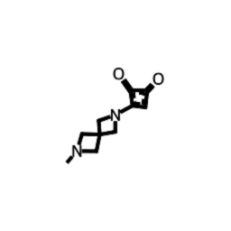 CN1CC2(C1)CN(c1cc(=O)c1=O)C2